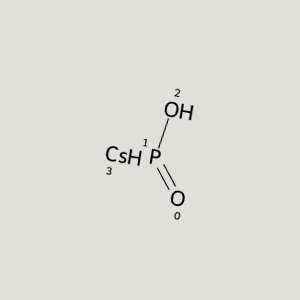 O=PO.[CsH]